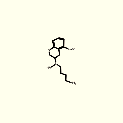 CCCN(CCCCN)C1CSc2cccc(OC)c2C1